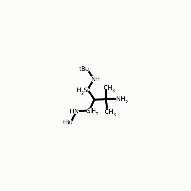 CC(C)(C)N[SiH2]C([SiH2]NC(C)(C)C)C(C)(C)N